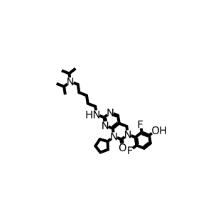 CC(C)N(CCCCCNc1ncc2c(n1)N(C1CCCC1)C(=O)N(c1c(F)ccc(O)c1F)C2)C(C)C